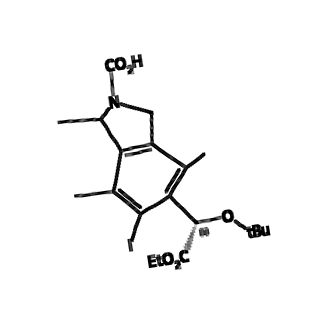 CCOC(=O)[C@@H](OC(C)(C)C)c1c(C)c2c(c(C)c1I)C(C)N(C(=O)O)C2